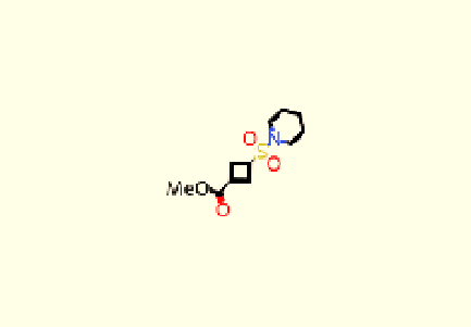 COC(=O)[C@H]1C[C@H](S(=O)(=O)N2CCCCC2)C1